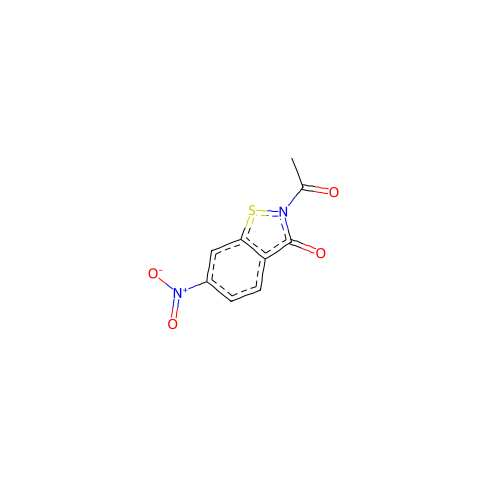 CC(=O)n1sc2cc([N+](=O)[O-])ccc2c1=O